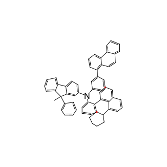 CC1(c2ccccc2)c2ccccc2-c2ccc(N(c3cccc(-c4cccc5c4ccc4ccccc45)c3)c3ccccc3-c3cccc4cccc(C5CCCCC5)c34)cc21